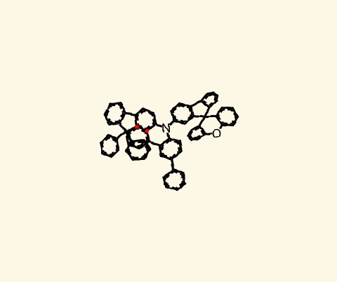 c1ccc(-c2ccc(N(c3ccc4c(c3)C(c3ccccc3)(c3ccccc3)c3ccccc3-4)c3ccc4c(c3)C3(c5ccccc5Oc5ccccc53)c3ccccc3-4)c(-c3ccccc3)c2)cc1